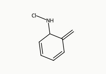 C=C1C=CC=CC1NCl